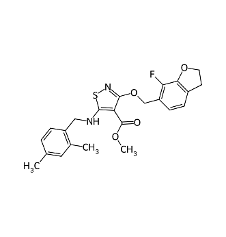 COC(=O)c1c(OCc2ccc3c(c2F)OCC3)nsc1NCc1ccc(C)cc1C